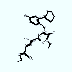 CCOC(=O)CC[C@H](N)C(=O)N[C@@H](Cc1ccc(O)cc1C1CCCC1)C(=O)OCC